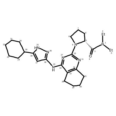 CCN(CC)C(=O)[C@H]1CCCN1c1nc2c(c(Nc3cc(C4CCCCC4)[nH]n3)n1)CCCC2